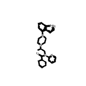 CC(CN(C(=O)C1CCCCC1)c1ccccn1)N1CCN(c2cccc3[nH]ccc23)CC1